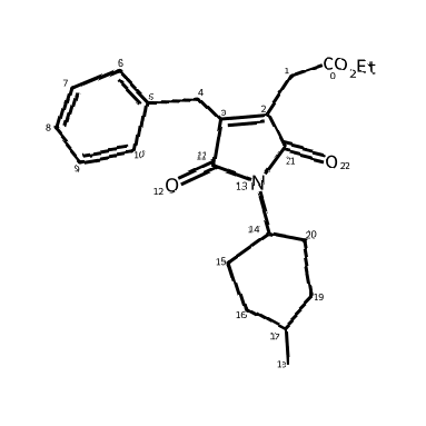 CCOC(=O)CC1=C(Cc2ccccc2)C(=O)N(C2CCC(C)CC2)C1=O